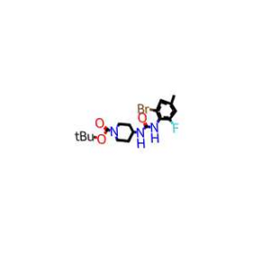 Cc1cc(F)c(NC(=O)NC2CCN(C(=O)OC(C)(C)C)CC2)c(Br)c1